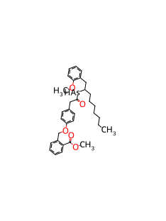 CCCCCCCC(Cc1ccccc1OC)[AsH]C(=O)Cc1ccc(OCc2ccccc2C(=O)OC)cc1